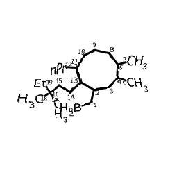 BCC1CC(C)C(C)CCCC(CCC)C1CCC(C)(C)CC